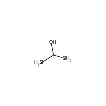 OC([SiH3])[SiH3]